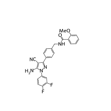 COc1ccccc1C(=O)NCc1ccc(-c2nn(-c3ccc(F)c(F)c3)c(N)c2C#N)cc1